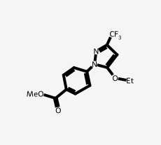 CCOc1cc(C(F)(F)F)nn1-c1ccc(C(=O)OC)cc1